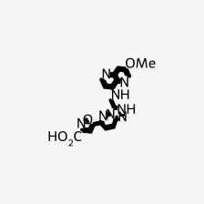 COc1cnc2c(NCC3NN=C4C=CC(c5cc(C(=O)O)no5)=NN43)ccnc2c1